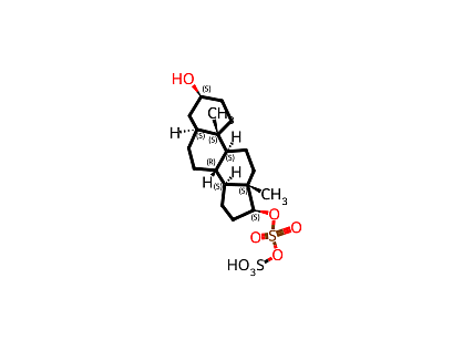 C[C@]12CC[C@H](O)C[C@@H]1CC[C@@H]1[C@@H]2CC[C@]2(C)[C@@H](OS(=O)(=O)OS(=O)(=O)O)CC[C@@H]12